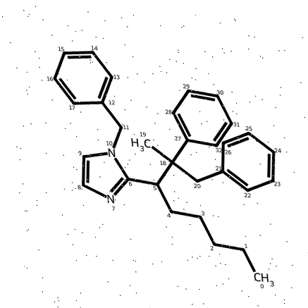 CCCCCC(c1nccn1Cc1ccccc1)C(C)(Cc1ccccc1)c1ccccc1